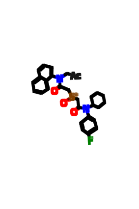 CC(=O)CN(C(=O)C[S+]([O-])CC(=O)N(c1ccc(F)cc1)C1CCCCC1)c1cccc2ccccc12